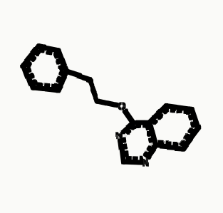 c1ccc(CCOc2ncnc3ccccc23)cc1